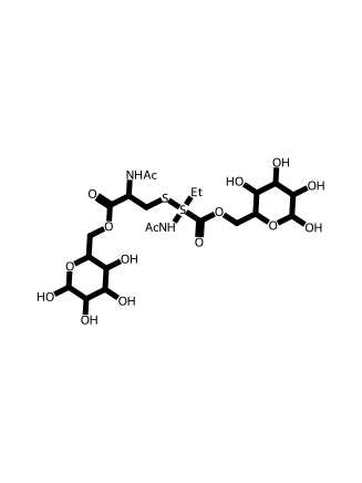 CCS(NC(C)=O)(SCC(NC(C)=O)C(=O)OCC1OC(O)C(O)C(O)C1O)C(=O)OCC1OC(O)C(O)C(O)C1O